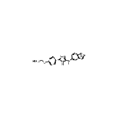 O=C(O)COc1ccc(-c2nnc(Nc3ccc4[nH]ncc4c3)[nH]2)cc1